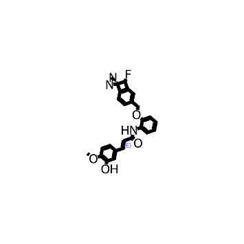 COc1ccc(/C=C/C(=O)Nc2ccccc2OCc2ccc3c(c2)C(F)C32N=N2)cc1O